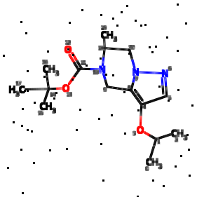 CC(C)Oc1cnn2c1CN(C(=O)OC(C)(C)C)C(C)C2